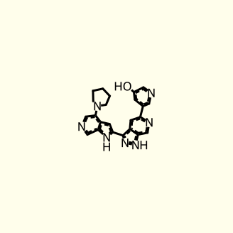 Oc1cncc(-c2cc3c(-c4cc5c(N6CCCCC6)cncc5[nH]4)n[nH]c3cn2)c1